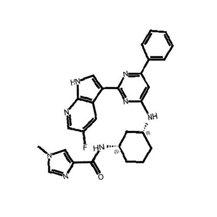 Cn1cnc(C(=O)N[C@H]2CCC[C@@H](Nc3cc(-c4ccccc4)nc(-c4c[nH]c5ncc(F)cc45)n3)C2)c1